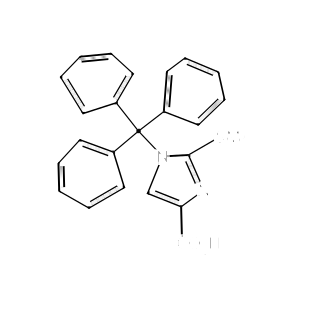 CSc1nc(C(=O)O)cn1C(c1ccccc1)(c1ccccc1)c1ccccc1